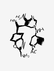 CC(=O)N1CCC(NN2C=NC(N)=C(C(=N)c3ccc4oc(N)nc4c3)C2)CC1